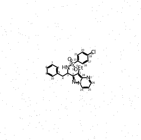 CCc1c(C(Cc2ccccc2)NS(=O)(=O)c2ccc(Cl)cc2)nn2cccnc12